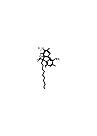 CCCCCCCCCCC(C(=O)O)(c1c(I)cc(I)c(N)c1I)c1c(I)cc(I)c(N)c1I